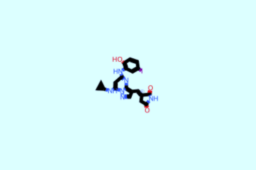 O=C1C/C(=C\c2cnn3c(NC4CC4)cc(Nc4cc(I)ccc4O)nc23)C(=O)N1